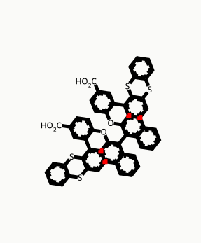 O=C(O)c1ccc(Oc2ccc3ccccc3c2-c2c(Oc3ccc(C(=O)O)cc3-c3cccc4c3Sc3ccccc3S4)ccc3ccccc23)c(-c2cccc3c2Sc2ccccc2S3)c1